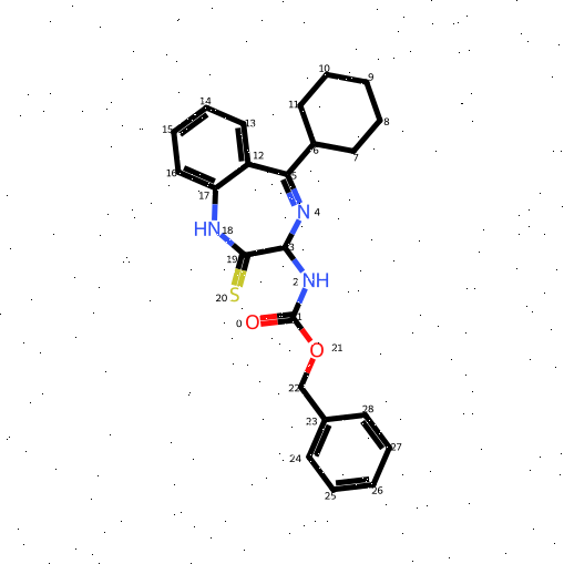 O=C(NC1N=C(C2CCCCC2)c2ccccc2NC1=S)OCc1ccccc1